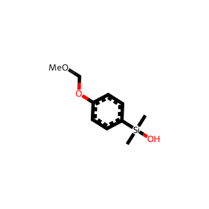 COCOc1ccc([Si](C)(C)O)cc1